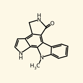 Cn1c2ccccc2c2c3c(c4cc[nH]c4c21)CNC3=O